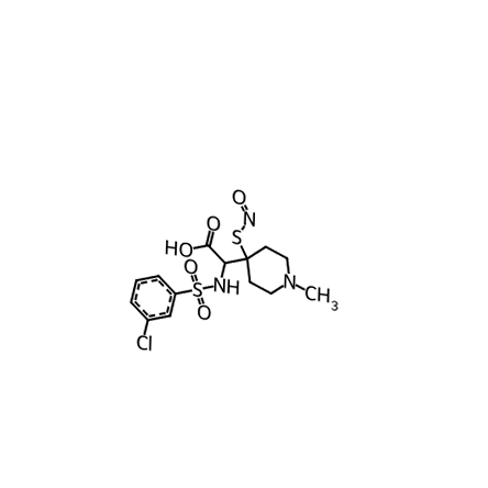 CN1CCC(SN=O)(C(NS(=O)(=O)c2cccc(Cl)c2)C(=O)O)CC1